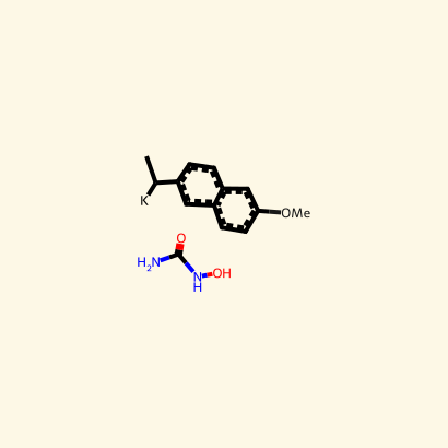 COc1ccc2cc([CH](C)[K])ccc2c1.NC(=O)NO